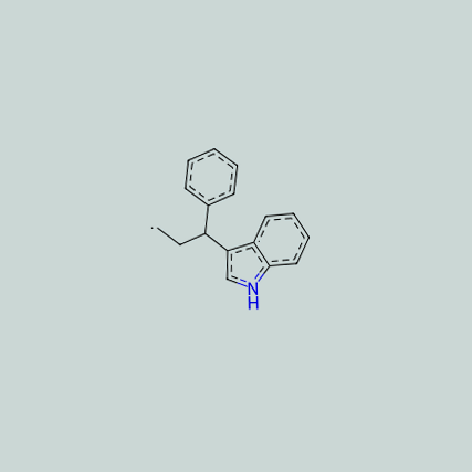 [CH2]CC(c1ccccc1)c1c[nH]c2ccccc12